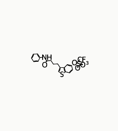 O=C(CCCc1csc2ccc(OS(=O)(=O)C(F)(F)F)cc12)Nc1ccccc1